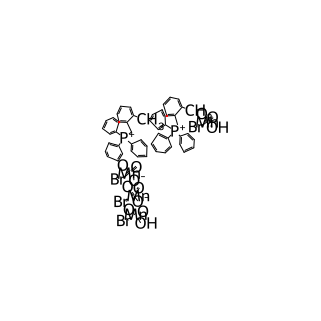 Cc1ccccc1C[P+](c1ccccc1)(c1ccccc1)c1ccccc1.Cc1ccccc1C[P+](c1ccccc1)(c1ccccc1)c1ccccc1.[O]=[Mn](=[O])([O-])[Br].[O]=[Mn](=[O])([O-])[Br].[O]=[Mn](=[O])([OH])[Br].[O]=[Mn](=[O])([OH])[Br]